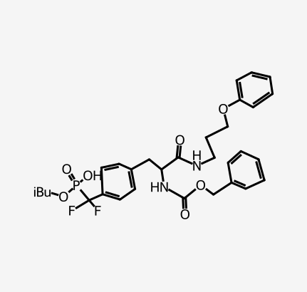 CCC(C)OP(=O)(O)C(F)(F)c1ccc(CC(NC(=O)OCc2ccccc2)C(=O)NCCCOc2ccccc2)cc1